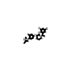 Cc1cn(-c2ccc(OC3CCCN(C(C)c4cc(F)cc(F)c4)C3=O)cc2C)cn1